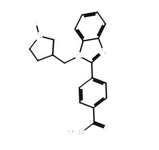 CCN1CCC(Cn2c(-c3ccc(C(=O)NC)cc3)nc3ccccc32)C1